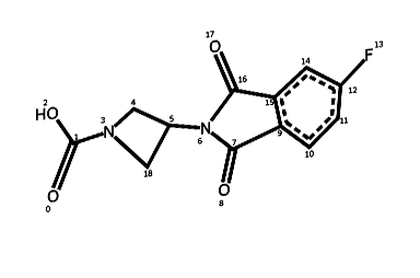 O=C(O)N1CC(N2C(=O)c3ccc(F)cc3C2=O)C1